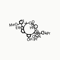 CCn1c(-c2cnccc2COC)c2c3cc(ccc31)-c1cc(O)cc(c1)C[C@H](NC(=O)[C@H](C(C)C)N(C)C(=O)[C@H]1CCN(C(C)C)C1)C(=O)N1CCC[C@H](N1)C(=O)OCC(C)(C)C2